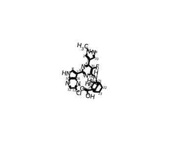 Cn1cc(-c2nc(-c3c[nH]c4ncc(Cl)nc34)nc(N[C@@H]3C4CCC(CC4)[C@H]3C(=O)O)c2F)cn1